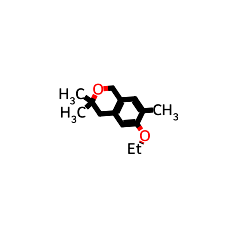 CCOc1cc2c(cc1C)COC(C)(C)C2